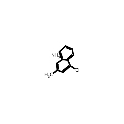 Cc1cc(Cl)c2ccccc2c1.N